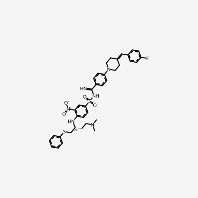 CN(C)CC[C@H](CSc1ccccc1)Nc1ccc(S(=O)(=O)NC(=N)c2ccc(N3CCC(=Cc4ccc(F)cc4)CC3)cc2)cc1[N+](=O)[O-]